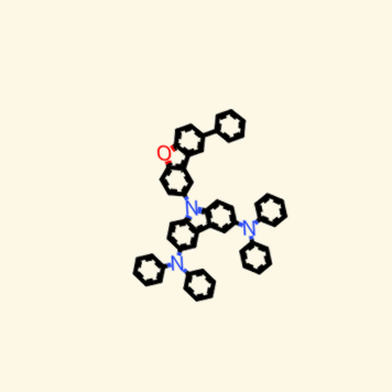 c1ccc(-c2ccc3oc4ccc(-n5c6ccc(N(c7ccccc7)c7ccccc7)cc6c6cc(N(c7ccccc7)c7ccccc7)ccc65)cc4c3c2)cc1